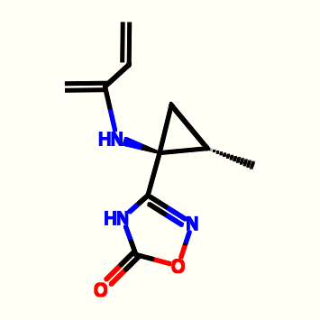 C=CC(=C)N[C@@]1(c2noc(=O)[nH]2)C[C@@H]1C